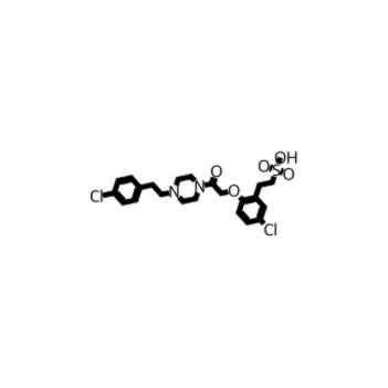 O=C(COc1ccc(Cl)cc1CCS(=O)(=O)O)N1CCN(CCc2ccc(Cl)cc2)CC1